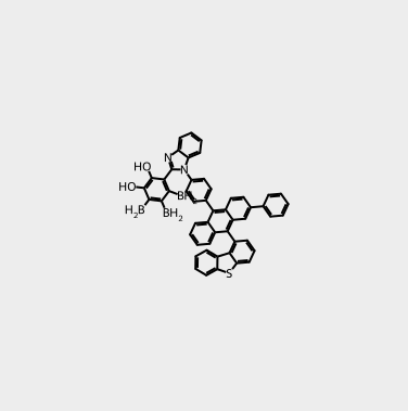 Bc1c(B)c(O)c(O)c(-c2nc3ccccc3n2-c2ccc(-c3c4ccccc4c(-c4cccc5sc6ccccc6c45)c4cc(-c5ccccc5)ccc34)cc2)c1B